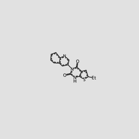 CCc1cc2c(=O)n(-c3cnc4ccccc4c3)c(=O)[nH]c2s1